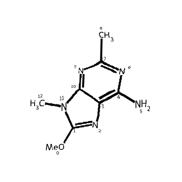 COc1nc2c(N)nc(C)nc2n1C